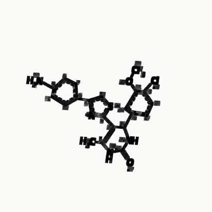 CC1=C(c2nc(-c3ccc(N)cc3)cs2)C(c2ccc(Cl)c(OC(F)(F)F)c2)NC(=O)N1